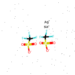 O=S(=O)([O-])C(F)(F)F.O=S(=O)([O-])C(F)(F)F.[Ag+].[Na+]